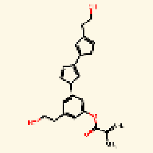 C=C(C)C(=O)Oc1cc(CCO)cc(C2C=CC(C3=CC(CCO)=CC3)=C2)c1